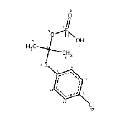 CC(C)(O[PH](=O)O)Sc1ccc(Cl)cc1